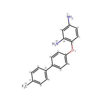 Nc1ccc(Oc2ccc(-c3ccc(C(F)(F)F)cc3)cc2)c(N)c1